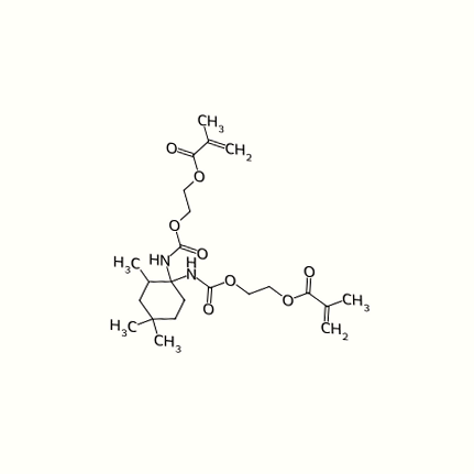 C=C(C)C(=O)OCCOC(=O)NC1(NC(=O)OCCOC(=O)C(=C)C)CCC(C)(C)CC1C